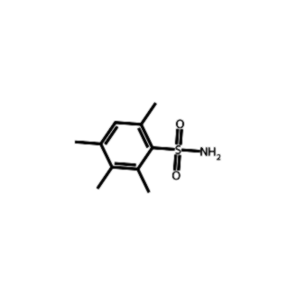 Cc1cc(C)c(S(N)(=O)=O)c(C)c1C